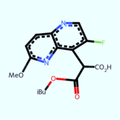 CCC(C)OC(=O)C(C(=O)O)c1c(F)cnc2ccc(OC)nc12